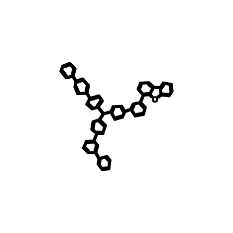 c1ccc(-c2ccc(-c3ccc(C(c4ccc(-c5cccc(-c6ccccc6)c5)cc4)c4ccc(-c5cccc(-c6cccc7c6oc6ccccc67)c5)cc4)cc3)cc2)cc1